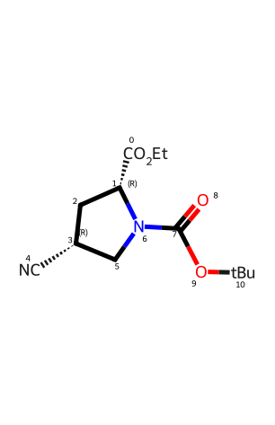 CCOC(=O)[C@H]1C[C@@H](C#N)CN1C(=O)OC(C)(C)C